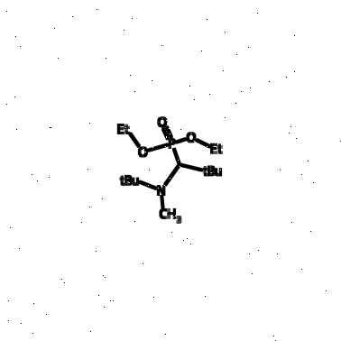 CCOP(=O)(OCC)C(N(C)C(C)(C)C)C(C)(C)C